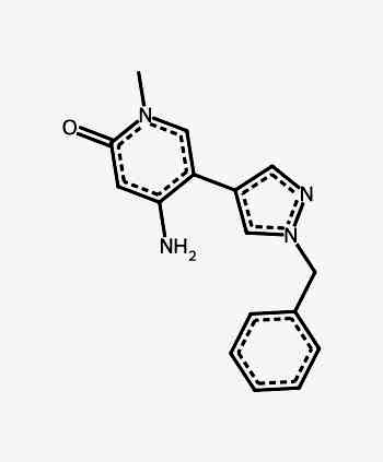 Cn1cc(-c2cnn(Cc3ccccc3)c2)c(N)cc1=O